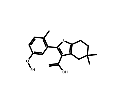 C=C(O)c1c(-c2cc(OS)ccc2C)sc2c1CC(C)(C)CC2